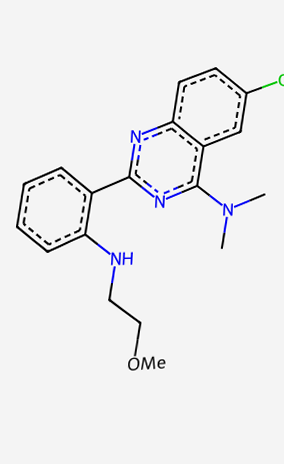 COCCNc1ccccc1-c1nc(N(C)C)c2cc(Cl)ccc2n1